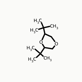 CC(C)(C)C1COCC(C(C)(C)C)O1